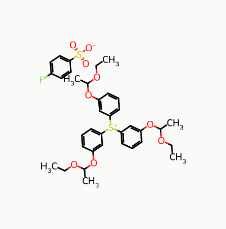 CCOC(C)Oc1cccc([S+](c2cccc(OC(C)OCC)c2)c2cccc(OC(C)OCC)c2)c1.O=S(=O)([O-])c1ccc(F)cc1